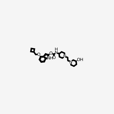 O=C(NC1CCN(CCN2CCC[C@@H](O)C2)CC1)Oc1cc2c(OCC3CCC3)cccc2[nH]1